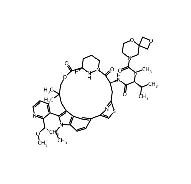 CCn1c(-c2cccnc2[C@H](C)OC)c2c3cc(ccc31)-c1csc(n1)C[C@H](NC(=O)[C@H](C(C)C)N(C)C(=O)N1CCOC3(COC3)C1)C(=O)N1CCC[C@H](N1)C(=O)OCC(C)(C)C2